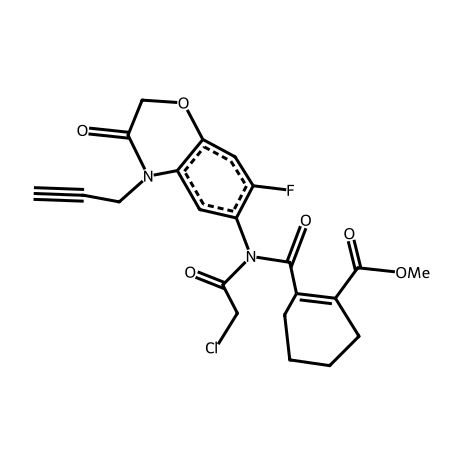 C#CCN1C(=O)COc2cc(F)c(N(C(=O)CCl)C(=O)C3=C(C(=O)OC)CCCC3)cc21